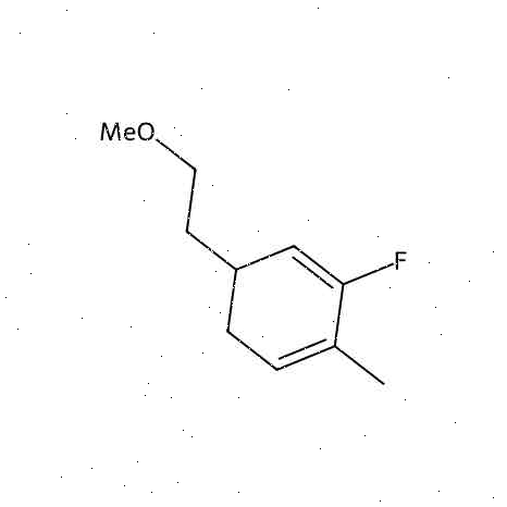 COCCC1C=C(F)C(C)=CC1